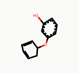 Oc1cccc(OC2C=CC=CC2)c1